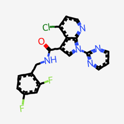 O=C(NCc1ccc(F)cc1F)c1cn(-c2ncccn2)c2nccc(Cl)c12